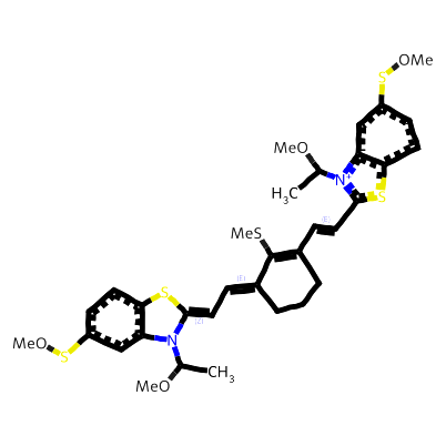 COSc1ccc2c(c1)N(C(C)OC)/C(=C/C=C1\CCCC(/C=C/c3sc4ccc(SOC)cc4[n+]3C(C)OC)=C1SC)S2